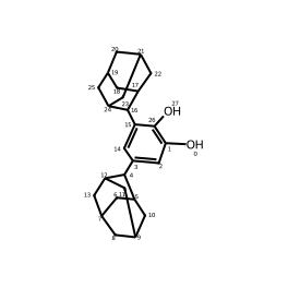 Oc1cc(C2C3CC4CC(C3)CC2C4)cc(C2C3CC4CC(C3)CC2C4)c1O